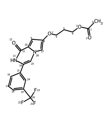 CC(=O)OCCCOc1cc2c(=O)[nH]c(-c3cccc(C(F)(F)F)c3)cn2c1